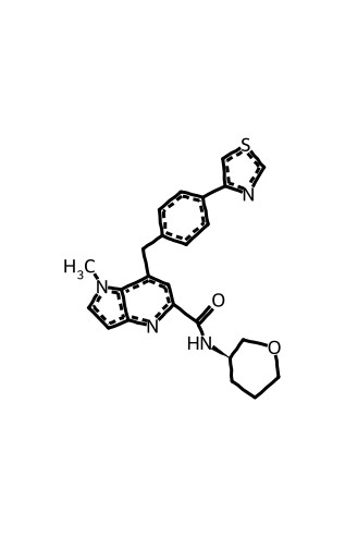 Cn1ccc2nc(C(=O)N[C@@H]3CCCOC3)cc(Cc3ccc(-c4cscn4)cc3)c21